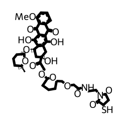 COc1cccc2c1C(=O)c1c(O)c3c(c(O)c1C2=O)C[C@@](O)(C(=O)COC1CCCC(COCC(=O)NCCN2C(=O)CC(S)C2=O)O1)C[C@@H]3O[C@H]1CCC[C@H](C)O1